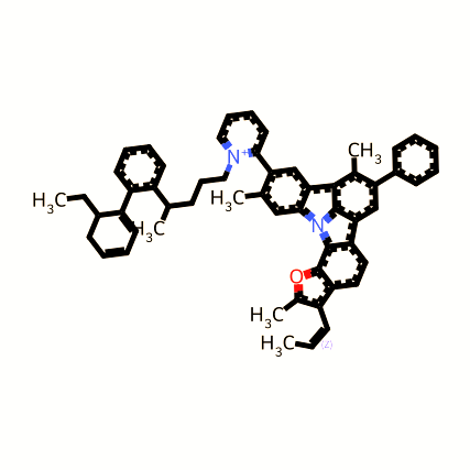 C/C=C\c1c(C)oc2c1ccc1c3cc(-c4ccccc4)c(C)c4c5cc(-c6cccc[n+]6CCCC(C)c6ccccc6C6=CC=CCC6CC)c(C)cc5n(c12)c34